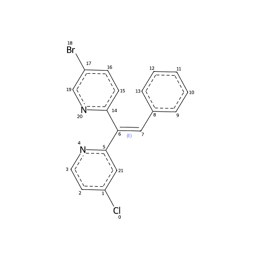 Clc1ccnc(/C(=C/c2ccccc2)c2ccc(Br)cn2)c1